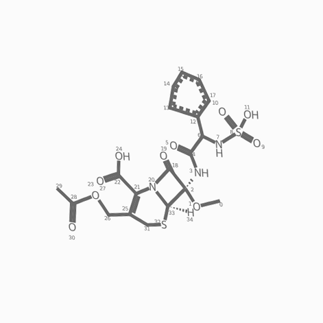 CO[C@]1(NC(=O)C(NS(=O)(=O)O)c2ccccc2)C(=O)N2C(C(=O)O)=C(COC(C)=O)CS[C@@H]21